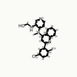 CN(c1ccncc1NCO)c1cc(-c2cc(Cl)ccc2F)nc2ccccc12